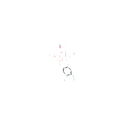 CCOC(=O)C1(OC(=O)Cc2cc(Cl)c(Br)cc2C)CCCCC1OCC